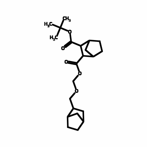 CC(C)(C)OC(=O)C1C2CCC(C2)C1C(=O)OCOCC1CC2CCC1C2